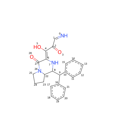 N=CC(=O)/C(O)=C1\NC(C(c2ccccc2)c2ccccc2)C2CCCN2C1=O